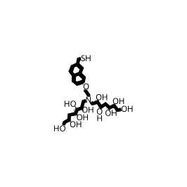 OC[C@@H](O)C[C@@H](O)[C@H](O)[C@@H](O)CN(CCOc1ccc2ccc(CS)cc2c1)C[C@H](O)[C@@H](O)C[C@H](O)[C@H](O)CO